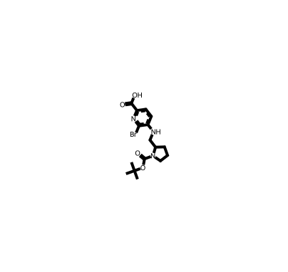 CC(C)(C)OC(=O)N1CCCC1CNc1ccc(C(=O)O)nc1Br